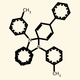 Cc1cccc(N(c2ccccc2)C2(N(c3ccccc3)c3cccc(C)c3)C=CC(c3ccccc3)C=C2)c1